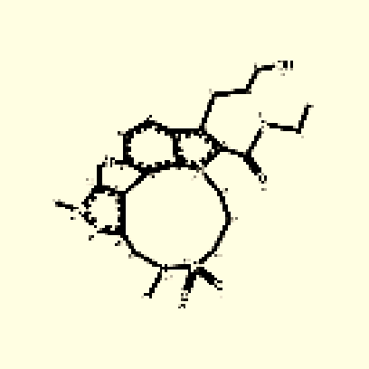 CCOC(=O)c1c(CCCO)c2ccc(F)c3c2n1CCCS(=O)(=O)N(C)Cc1nn(C)c(C)c1-3